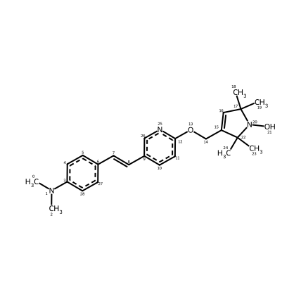 CN(C)c1ccc(/C=C/c2ccc(OCC3=CC(C)(C)N(O)C3(C)C)nc2)cc1